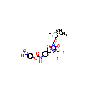 CC1(CN2C(=O)N(COCC[Si](C)(C)C)C(=O)C2(C)C)CCC(NC(=O)Oc2ccc([N+](=O)[O-])cc2)CC1